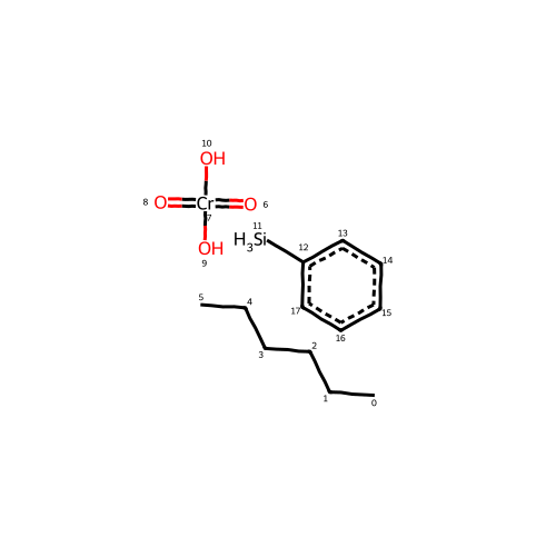 CCCCCC.[O]=[Cr](=[O])([OH])[OH].[SiH3]c1ccccc1